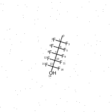 CC(F)(F)C(F)(F)C(F)(F)C(F)(F)C(O)(F)F